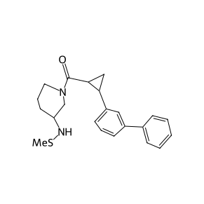 CSNC1CCCN(C(=O)C2CC2c2cccc(-c3ccccc3)c2)C1